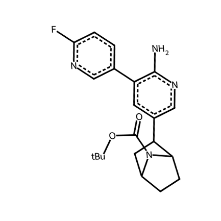 CC(C)(C)OC(=O)N1C2CCC1C(c1cnc(N)c(-c3ccc(F)nc3)c1)C2